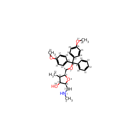 CNB[C@@H]1O[C@H](COC(c2ccccc2)(c2ccc(OC)cc2)c2ccc(OC)cc2)C(C)[C@@H]1O